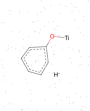 [H-].[Ti][O]c1ccccc1